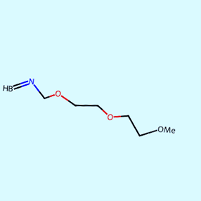 B=NCOCCOCCOC